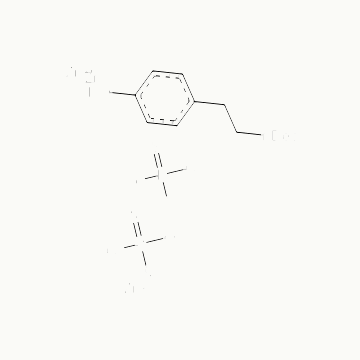 CCCCCCCCCCCCc1ccc(O)cc1.[O-]P([O-])(=S)[S-].[O-]P([O-])(=S)[S-].[Zn+2].[Zn+2].[Zn+2]